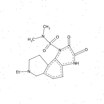 CCN1CCc2c(ccc3[nH]c(=O)c(=O)n(S(=O)(=O)N(C)C)c23)C1